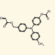 C=CC(=O)OCc1ccc(N(c2ccc(C)cc2)c2ccc(OC(=O)CC)cc2)cc1